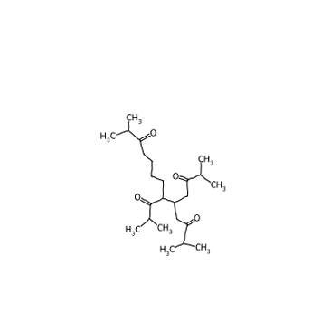 CC(C)C(=O)CCCCC(C(=O)C(C)C)C(CC(=O)C(C)C)CC(=O)C(C)C